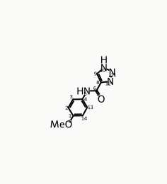 COc1ccc(NC(=O)c2c[nH]nn2)cc1